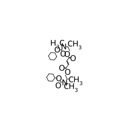 C[C@H](COC(=O)/C=C/C(=O)OC[C@@H](C)N(C)C(=O)OC1CCCCC1)N(C)C(=O)OC1CCCCC1